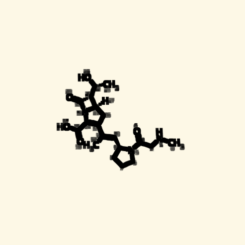 CNCC(=O)N1CCC[C@H]1C=C(C)C1=C(C(=O)O)N2C(=O)[C@H]([C@@H](C)O)[C@H]2C1